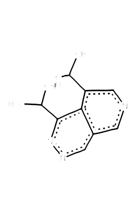 CC(C)c1cncc2cnnc(C(C)C)c12